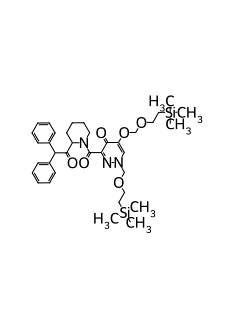 C[Si](C)(C)CCOCOc1cn(COCC[Si](C)(C)C)nc(C(=O)N2CCCCC2C(=O)C(c2ccccc2)c2ccccc2)c1=O